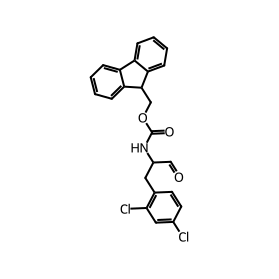 O=CC(Cc1ccc(Cl)cc1Cl)NC(=O)OCC1c2ccccc2-c2ccccc21